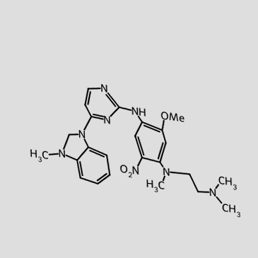 COc1cc(N(C)CCN(C)C)c([N+](=O)[O-])cc1Nc1nccc(N2CN(C)c3ccccc32)n1